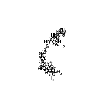 CC(=O)Nc1cc(NCCCCCCCC(=O)N2CCN(c3ccc(Nc4ncc5c(C)c(C(C)=O)c(=O)n(C6CCCC6)c5n4)nc3)CC2)ccc1C(=O)Nc1nc(C)c([N+](=O)[O-])s1